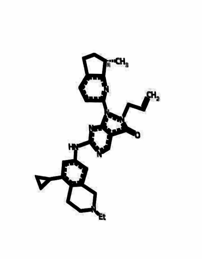 C=CCn1c(=O)c2cnc(Nc3cc4c(c(C5CC5)c3)CCN(CC)C4)nc2n1-c1ccc2c(n1)[C@@H](C)CC2